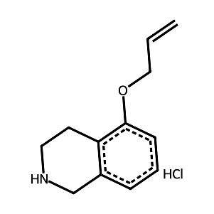 C=CCOc1cccc2c1CCNC2.Cl